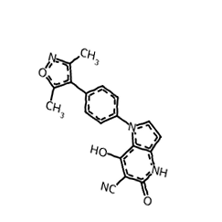 Cc1noc(C)c1-c1ccc(-n2ccc3[nH]c(=O)c(C#N)c(O)c32)cc1